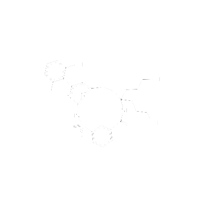 CCCCC1(CCCC)COc2cc(-c3c(C)cccc3C)nc(n2)NS(=O)(=O)c2cccc(c2)C(=O)N1